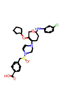 O=C(O)c1ccc(C[S+]([O-])N2CCN(C3=C(OC4CCCC4)COC(Nc4cccc(Cl)c4)CC3)CC2)cc1